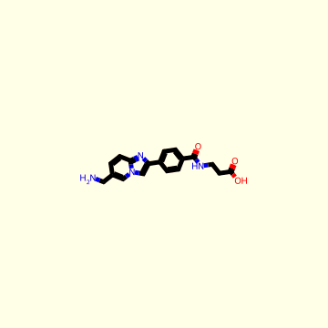 NCc1ccc2nc(-c3ccc(C(=O)NCCC(=O)O)cc3)cn2c1